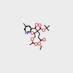 CCOC(=O)CCC(C(=O)COC(C)=O)(C(=O)OC(C)(C)C)C(=O)c1cncc(C)c1